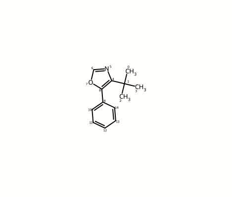 CC(C)(C)c1ncoc1-c1ccccc1